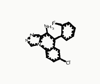 Nc1c(-c2ccccc2F)c2cc(Cl)ccc2n2cnnc12